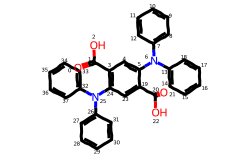 O=C(O)c1cc(N(c2ccccc2)c2ccccc2)c(C(=O)O)cc1N(c1ccccc1)c1ccccc1